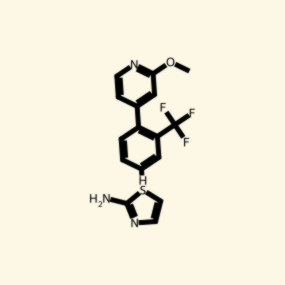 COc1cc(-c2ccc([SH]3C=CN=C3N)cc2C(F)(F)F)ccn1